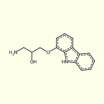 NCC(O)COc1cccc2c1[nH]c1ccccc12